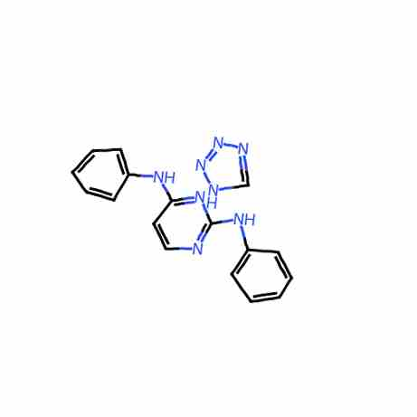 c1ccc(Nc2ccnc(Nc3ccccc3)n2)cc1.c1nnn[nH]1